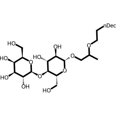 CCCCCCCCCCCCOC(C)CO[C@@H]1O[C@H](CO)[C@@H](O[C@@H]2O[C@H](CO)[C@H](O)[C@H](O)[C@H]2O)[C@H](O)[C@H]1O